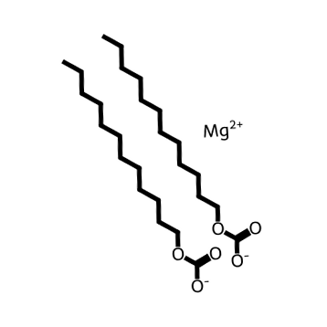 CCCCCCCCCCCCOC(=O)[O-].CCCCCCCCCCCCOC(=O)[O-].[Mg+2]